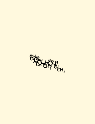 CCOC(=O)c1ccc(C=C(C)C2=Cc3ccc(OC)cc3OC2)cc1